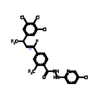 O=C(NNc1ccc(Cl)cn1)c1ccc(/C(F)=C/C(c2cc(Cl)c(Cl)c(Cl)c2)C(F)(F)F)cc1C(F)(F)F